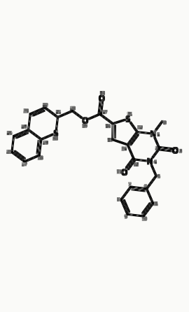 Cn1c(=O)n(Cc2ccccc2)c(=O)c2cc(C(=O)OCC3C=Cc4ccccc4S3)sc21